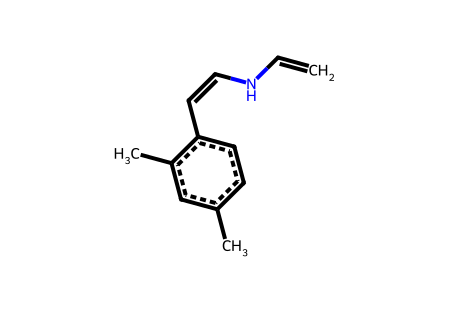 C=CN/C=C\c1ccc(C)cc1C